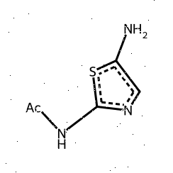 CC(=O)Nc1ncc(N)s1